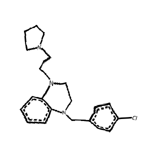 Clc1ccc(CN2CCN(CCN3CCCC3)c3ccccc32)cc1